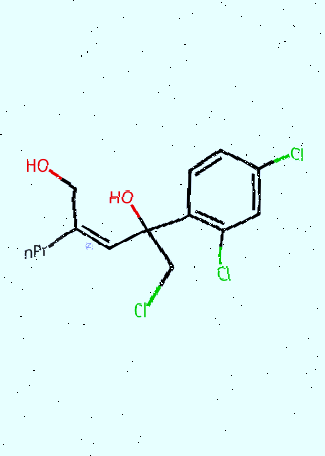 CCC/C(=C/C(O)(CCl)c1ccc(Cl)cc1Cl)CO